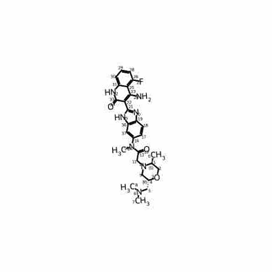 C[C@H]1CO[C@H](CN(C)C)CN1CC(=O)N(C)c1ccc2nc(-c3c(N)c4c(F)cccc4[nH]c3=O)[nH]c2c1